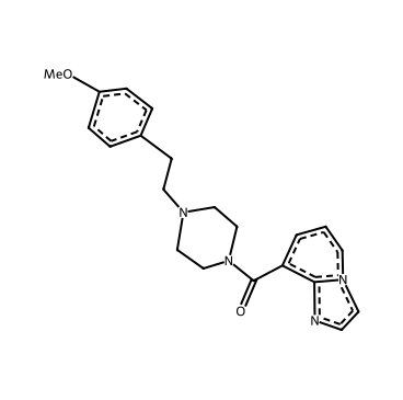 COc1ccc(CCN2CCN(C(=O)c3cccn4ccnc34)CC2)cc1